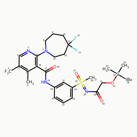 Cc1c(C(F)(F)F)cnc(N2CCCC(F)(F)CC2)c1C(=O)Nc1cccc(S(C)(=O)=NC(=O)CO[Si](C)(C)C(C)(C)C)c1